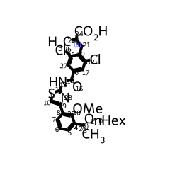 CCCCCCO[C@@H](C)c1cccc(-c2csc(NC(=O)c3cc(Cl)c(/C=C(\C)C(=O)O)c(Cl)c3)n2)c1OC